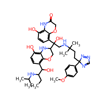 CCC(NC(C)C)C(O)c1ccc(O)c2c1OCC(C(O)(CNC(C)(C)CCC1(c3ccc(OC)cc3)N=CN=N1)c1ccc(O)c3c1OCC(=O)N3)N2